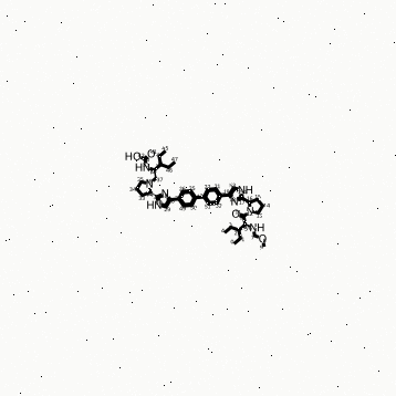 CCC(CC)[C@H](NCOC)C(=O)N1CCCC1c1nc(-c2ccc(-c3ccc(-c4c[nH]c([C@@H]5CCCN5C[C@@H](NC(=O)O)C(CC)CC)n4)cc3)cc2)c[nH]1